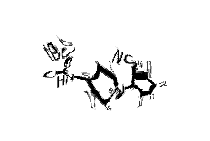 CC(C)(C)OC(=O)NC1CCN(c2ccccc2C#N)CC1